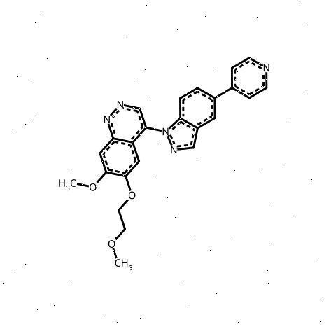 COCCOc1cc2c(-n3ncc4cc(-c5ccncc5)ccc43)cnnc2cc1OC